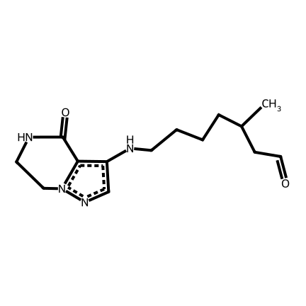 CC(CC=O)CCCCNc1cnn2c1C(=O)NCC2